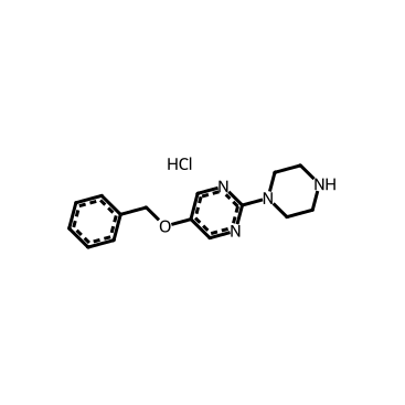 Cl.c1ccc(COc2cnc(N3CCNCC3)nc2)cc1